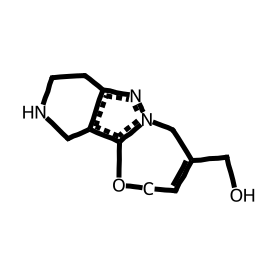 OCC1=CCOc2c3c(nn2C1)CCNC3